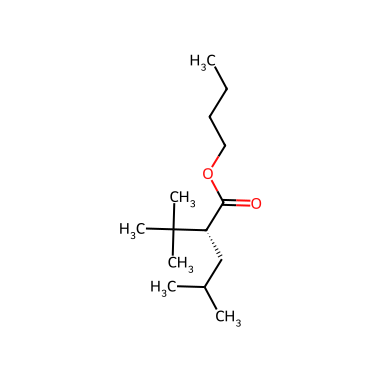 CCCCOC(=O)[C@H](CC(C)C)C(C)(C)C